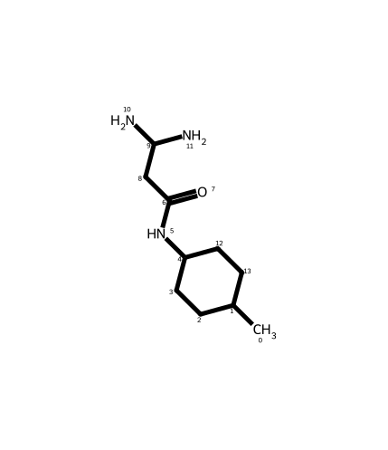 CC1CCC(NC(=O)CC(N)N)CC1